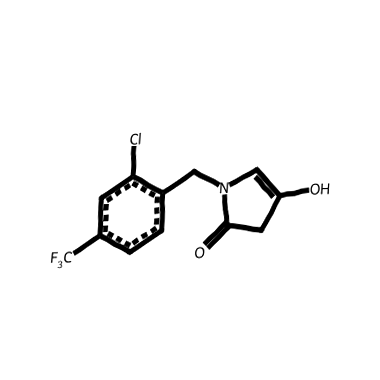 O=C1CC(O)=CN1Cc1ccc(C(F)(F)F)cc1Cl